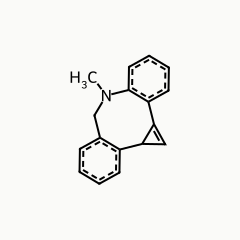 CN1Cc2ccccc2C2C=C2c2ccccc21